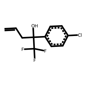 C=CCC(O)(c1ccc(Cl)cc1)C(F)(F)F